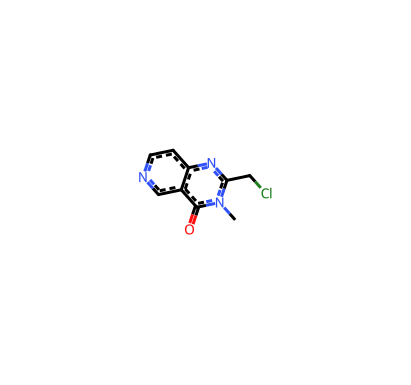 Cn1c(CCl)nc2ccncc2c1=O